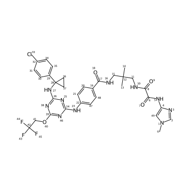 Cn1cnc(NC(=O)C(=O)NCC(C)(C)CNC(=O)c2ccc(Nc3nc(NC4(c5ccc(Cl)cc5)CC4)nc(OCC(F)(F)F)n3)cc2)c1